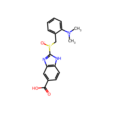 CN(C)c1ccccc1C[S+]([O-])c1nc2cc(C(=O)O)ccc2[nH]1